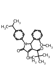 COc1ccccc1C1C(C(=O)C(C)(C)C)=C(O)C(=O)N1c1ccc(C(C)C)cc1